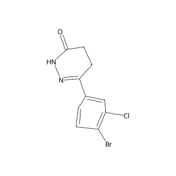 O=C1CCC(c2ccc(Br)c(Cl)c2)=NN1